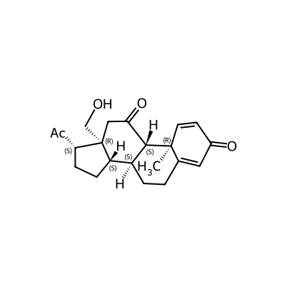 CC(=O)[C@H]1CC[C@H]2[C@@H]3CCC4=CC(=O)C=C[C@]4(C)[C@H]3C(=O)C[C@]12CO